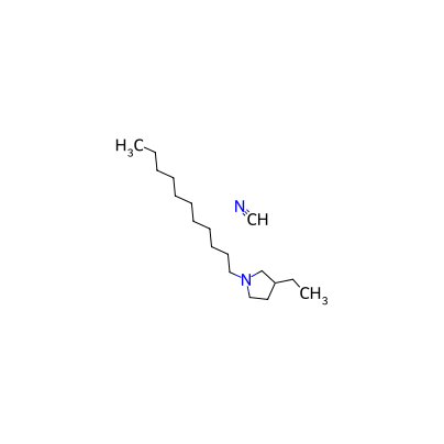 C#N.CCCCCCCCCCCN1CCC(CC)C1